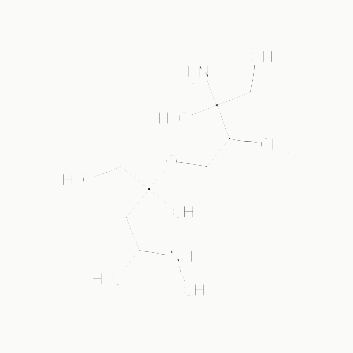 CCC(C)(CC(C)NC)OCC(C)C(C)(N)CC